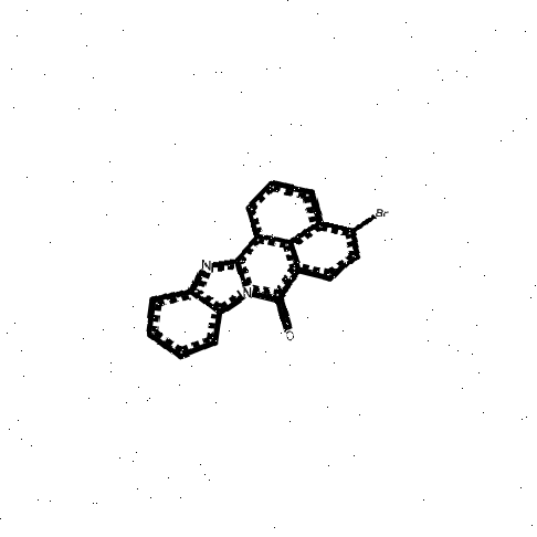 O=c1c2ccc(Br)c3cccc(c32)c2nc3ccccc3n12